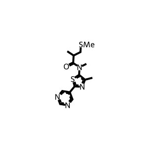 CSCC(C)C(=O)N(C)c1sc(-c2cncnc2)nc1C